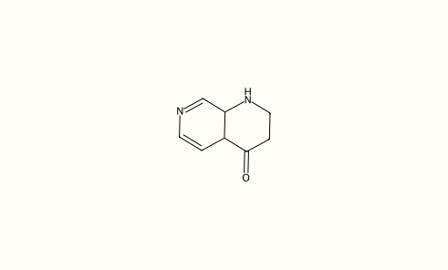 O=C1CCNC2C=NC=CC12